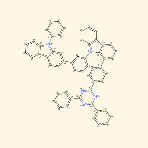 C1=Cc2c(n(-c3cccc(-c4ccc5c6ccccc6n(-c6ccccc6)c5c4)c3)c3c(-c4ccc(-c5nc(-c6ccccc6)nc(-c6ccccc6)n5)cc4)cccc23)CC1